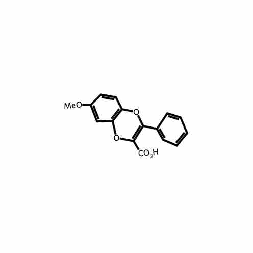 COc1ccc2c(c1)OC(C(=O)O)=C(c1ccccc1)O2